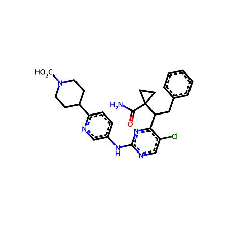 NC(=O)C1(C(Cc2ccccc2)c2nc(Nc3ccc(C4CCN(C(=O)O)CC4)nc3)ncc2Cl)CC1